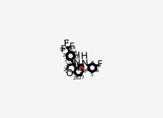 O=C(Nc1cccc(F)c1)NC1(c2ccc(C(F)(F)F)cc2)CCOc2cccnc21